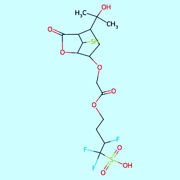 CC(C)(O)C1CC(OCC(=O)OCCC(F)C(F)(F)S(=O)(=O)O)C2OC(=O)C1C2S